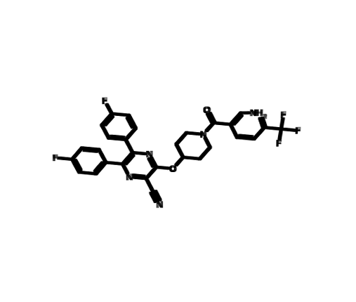 C=C(/C=C\C(=C/N)C(=O)N1CCC(Oc2nc(-c3ccc(F)cc3)c(-c3ccc(F)cc3)nc2C#N)CC1)C(F)(F)F